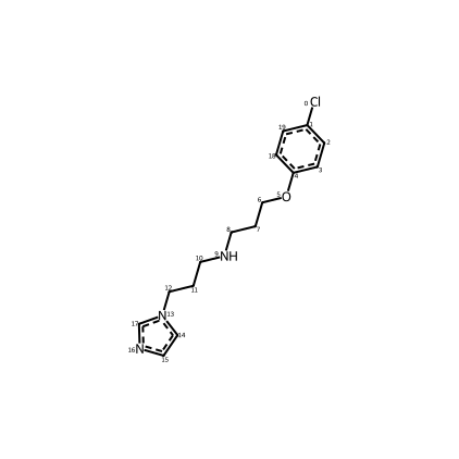 Clc1ccc(OCCCNCCCn2ccnc2)cc1